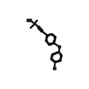 CC(C)(O)C#Cc1ccc(Oc2ccc(Cl)cc2)cc1